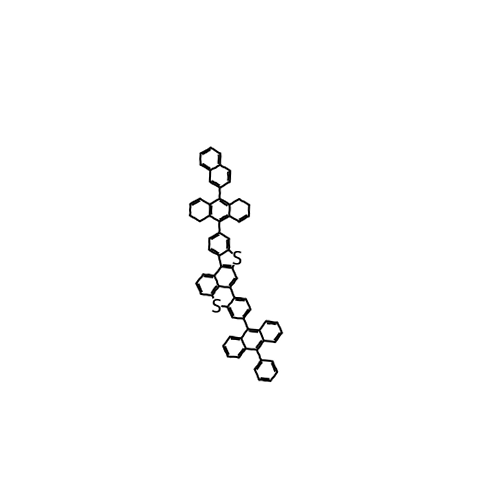 C1=Cc2c(c(-c3ccc4ccccc4c3)c3c(c2-c2ccc4c(c2)sc2cc5c6c(cccc6c24)Sc2cc(-c4c6ccccc6c(-c6ccccc6)c6ccccc46)ccc2-5)CCC=C3)CC1